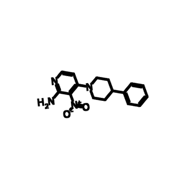 Nc1nccc(N2CCC(c3ccccc3)CC2)c1[N+](=O)[O-]